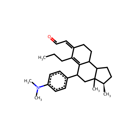 CCCC1=C2C(c3ccc(N(C)C)cc3)CC3(C)C(CC[C@H]3C)C2CC/C1=C/C=O